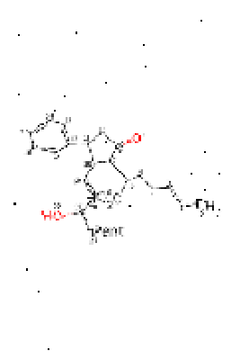 C/C=C/CCC(C(=O)O)C1C(=O)CC(c2ccccc2)C1/C=C/C(O)CCCCC